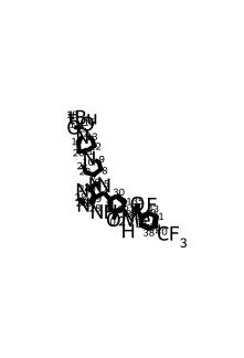 COc1cc(-c2nn(C3CCN(C4CCN(C(=O)OC(C)(C)C)CC4)CC3)c3ncnc(N)c23)ccc1NC(=O)c1ccc(C(F)(F)F)cc1F